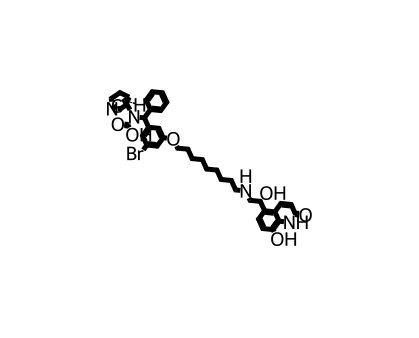 O=C(O)N(C(c1ccccc1)c1cc(Br)cc(OCCCCCCCCCNC[C@@H](O)c2ccc(O)c3[nH]c(=O)ccc23)c1)[C@H]1CN2CCC1CC2